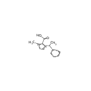 CC(c1ccccc1)[n+]1ccn(C)c1C(=O)O